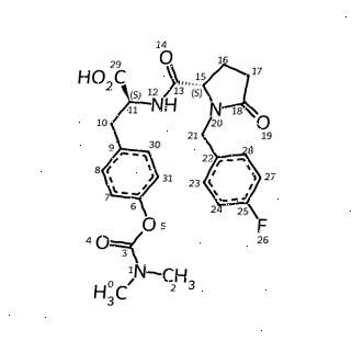 CN(C)C(=O)Oc1ccc(C[C@H](NC(=O)[C@@H]2CCC(=O)N2Cc2ccc(F)cc2)C(=O)O)cc1